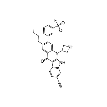 C#Cc1ccc2c(c1)[nH]c1c2c(=O)c2cc(CCCC)c(-c3cccc(S(=O)(=O)F)c3)cc2n1C1CNC1